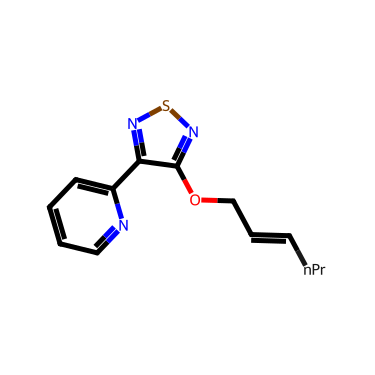 CCCC=CCOc1nsnc1-c1ccccn1